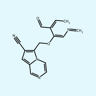 C=N/C=C(OCc1c(C#N)cc2cnccn12)\C(C=O)=C/C